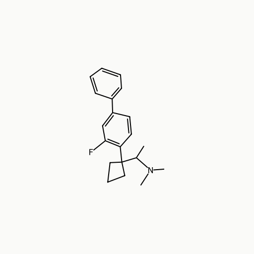 CC(N(C)C)C1(c2ccc(-c3ccccc3)cc2F)CCC1